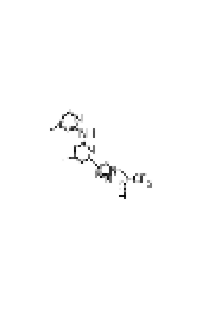 Cc1ccnc(Nc2cc(C)cc(-c3cn(CC(O)C(F)(F)F)nn3)n2)c1